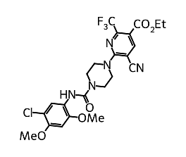 CCOC(=O)c1cc(C#N)c(N2CCN(C(=O)Nc3cc(Cl)c(OC)cc3OC)CC2)nc1C(F)(F)F